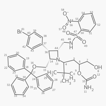 CC(C)(C)C(CC(CO)OC(N)=O)N1[C@H](COC(c2ccccc2)(c2ccccc2)c2ccccc2)[C@H](c2ccc(Br)cc2)[C@@H]1CNS(=O)(=O)c1ccccc1[N+](=O)[O-]